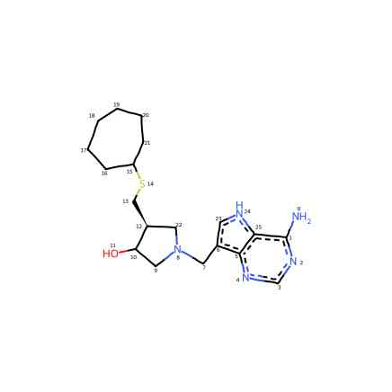 Nc1ncnc2c(CN3CC(O)[C@@H](CSC4CCCCCC4)C3)c[nH]c12